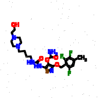 Cc1cc(F)c(COc2nsc(NC(=O)NCCCCN3CCN(CCO)CC3)c2OC(N)=O)c(F)c1F